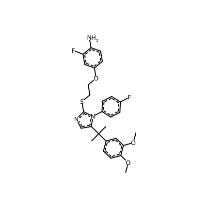 COc1ccc(C(C)(C)c2cnc(SCCOc3ccc(N)c(F)c3)n2-c2ccc(F)cc2)cc1OC